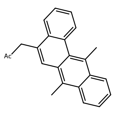 CC(=O)Cc1cc2c(C)c3ccccc3c(C)c2c2ccccc12